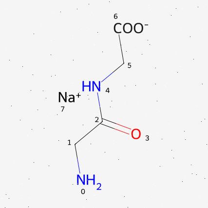 NCC(=O)NCC(=O)[O-].[Na+]